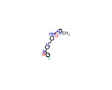 Cc1ccn(CC(=O)NC2CCC(CCN3CCC(c4noc5cc(F)ccc45)CC3)CC2)n1